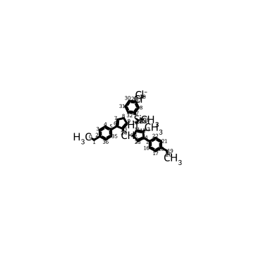 CCc1ccc(C2=CC[C]([Hf+2]([C]3=C(C)C(c4ccc(CC)cc4)=CC3)=[Si](C)c3ccccc3)=C2C)cc1.[Cl-].[Cl-]